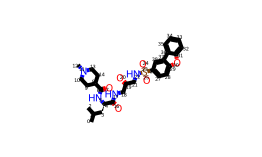 CC(C)C[C@H](NC(=O)C1CCN(C)CC1)C(=O)NCC(=O)CNS(=O)(=O)c1ccc2oc3ccccc3c2c1